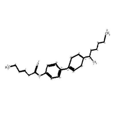 CCCCCC(=O)Oc1ccc(C2=CCC(C(C)CCCCC)CC2)cc1